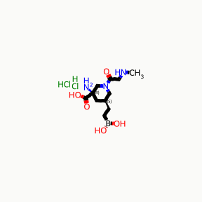 CNCC(=O)N1C[C@@H](CCB(O)O)C[C@](N)(C(=O)O)C1.Cl.Cl